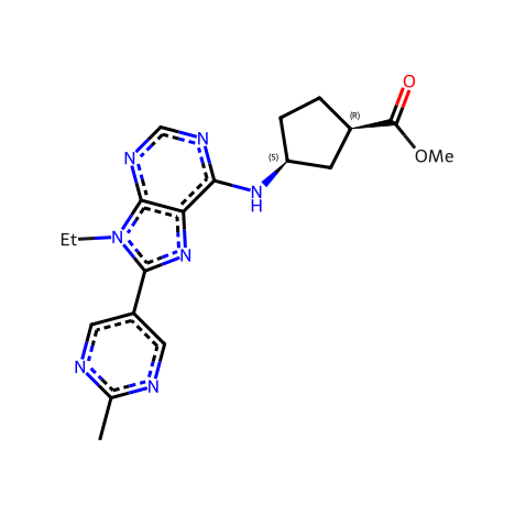 CCn1c(-c2cnc(C)nc2)nc2c(N[C@H]3CC[C@@H](C(=O)OC)C3)ncnc21